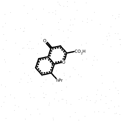 CCCc1[c]ccc2c(=O)cc(C(=O)O)oc12